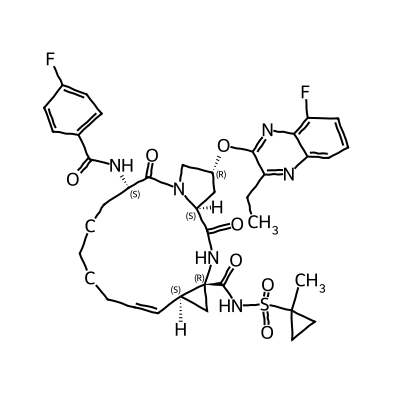 CCc1nc2cccc(F)c2nc1O[C@@H]1C[C@H]2C(=O)N[C@]3(C(=O)NS(=O)(=O)C4(C)CC4)C[C@H]3C=CCCCCC[C@H](NC(=O)c3ccc(F)cc3)C(=O)N2C1